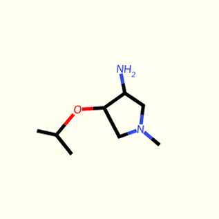 CC(C)OC1CN(C)CC1N